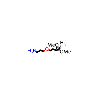 CO[Si](C)(CCCOCCCN)OC